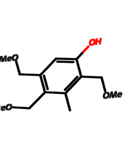 COCc1cc(O)c(COC)c(C)c1COC